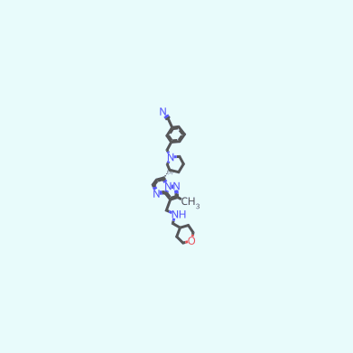 Cc1nn2c([C@H]3CCCN(Cc4cccc(C#N)c4)C3)ccnc2c1CNCC1CCOCC1